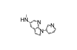 CNc1cnc2c(ccn2-c2cccnc2)c1